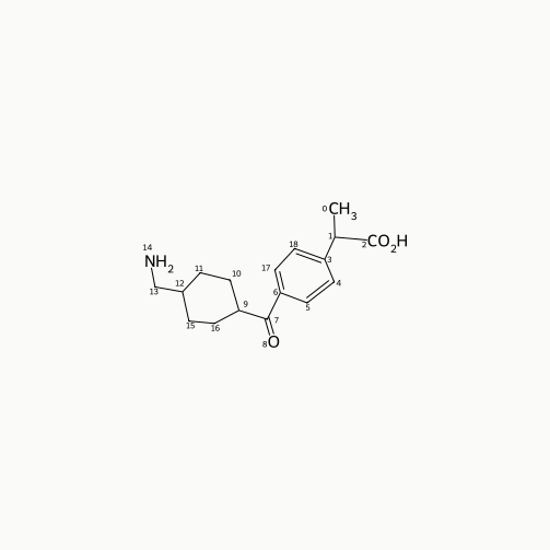 CC(C(=O)O)c1ccc(C(=O)C2CCC(CN)CC2)cc1